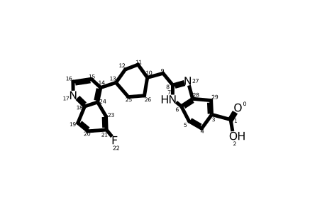 O=C(O)c1ccc2[nH]c(CC3CCC(c4ccnc5ccc(F)cc45)CC3)nc2c1